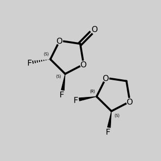 F[C@@H]1OCO[C@@H]1F.O=C1O[C@@H](F)[C@H](F)O1